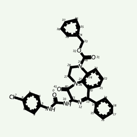 O=C(Nc1ccc(Cl)cc1)NC1N=C(c2ccccc2)c2cccc3c2N(CCN3C(=O)OCc2ccccc2)C1=O